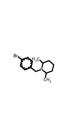 CC1CCCC(C)N1Cc1ccc(Br)cc1